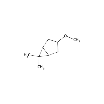 COC1CC2C(C1)C2(C)C